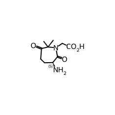 CC1(C)C(=O)CC[C@H](N)C(=O)N1CC(=O)O